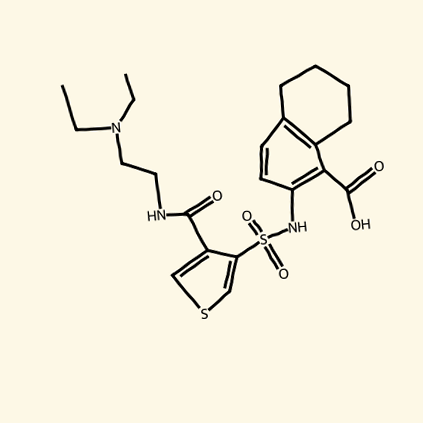 CCN(CC)CCNC(=O)c1cscc1S(=O)(=O)Nc1ccc2c(c1C(=O)O)CCCC2